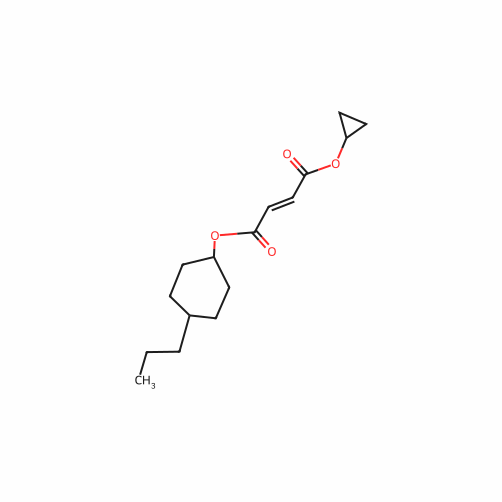 CCCC1CCC(OC(=O)/C=C/C(=O)OC2CC2)CC1